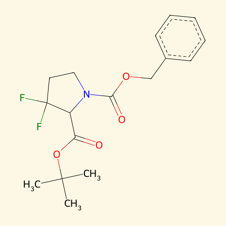 CC(C)(C)OC(=O)C1N(C(=O)OCc2ccccc2)CCC1(F)F